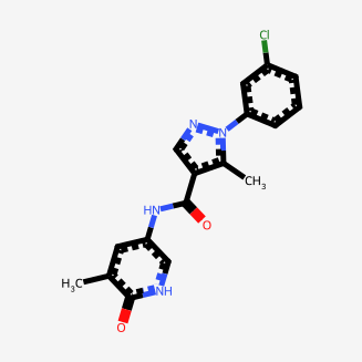 Cc1cc(NC(=O)c2cnn(-c3cccc(Cl)c3)c2C)c[nH]c1=O